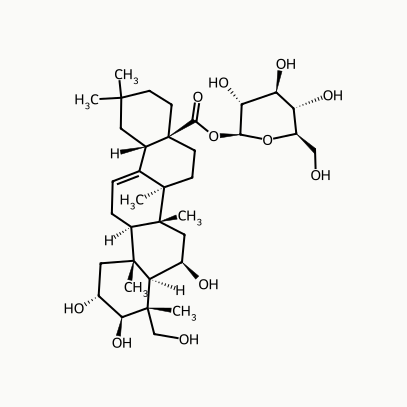 CC1(C)CC[C@]2(C(=O)O[C@@H]3O[C@H](CO)[C@@H](O)[C@H](O)[C@H]3O)CC[C@]3(C)C(=CC[C@@H]4[C@@]5(C)C[C@@H](O)[C@H](O)[C@@](C)(CO)[C@@H]5[C@H](O)C[C@]43C)[C@@H]2C1